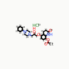 CCC(=O)Oc1ccc(OCC(O)CN2CCN(c3ccccc3)CC2)c2c1NC(=O)CC2.Cl